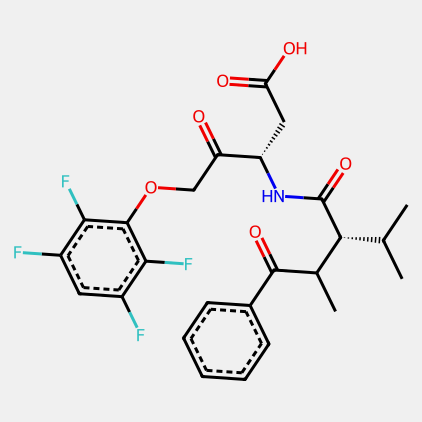 CC(C)[C@@H](C(=O)N[C@@H](CC(=O)O)C(=O)COc1c(F)c(F)cc(F)c1F)C(C)C(=O)c1ccccc1